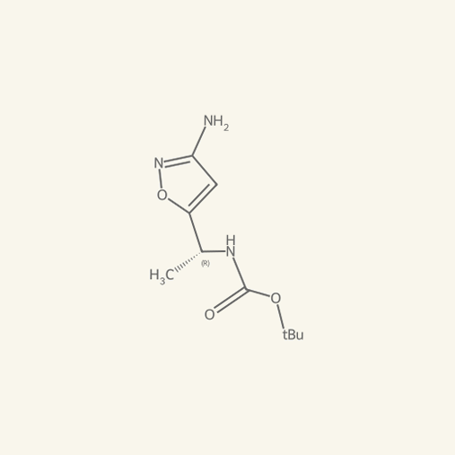 C[C@@H](NC(=O)OC(C)(C)C)c1cc(N)no1